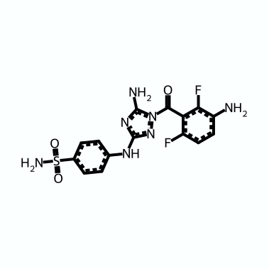 Nc1ccc(F)c(C(=O)n2nc(Nc3ccc(S(N)(=O)=O)cc3)nc2N)c1F